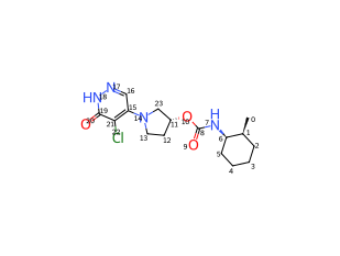 C[C@H]1CCCC[C@H]1NC(=O)O[C@@H]1CCN(c2cn[nH]c(=O)c2Cl)C1